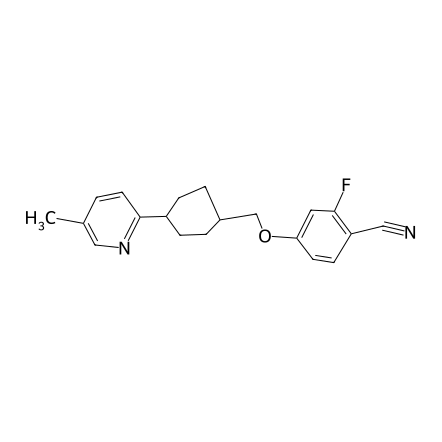 Cc1ccc(C2CCC(COc3ccc(C#N)c(F)c3)CC2)nc1